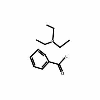 CCN(CC)CC.O=C(Cl)c1ccccc1